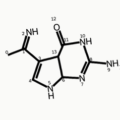 CC(=N)C1=CNC2N=C(N)NC(=O)C12